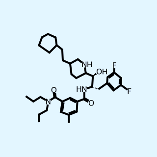 CCCN(CCC)C(=O)c1cc(C)cc(C(=O)N[C@@H](Cc2cc(F)cc(F)c2)[C@H](O)C2CCC(CCC3CCCCC3)CN2)c1